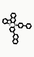 c1ccc(-c2ccc(N(c3cccc(-c4ccc5ccccc5c4)c3)c3cc4ccccc4c4c3sc3ccccc34)cc2)cc1